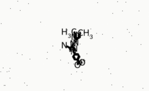 Cc1nc(N=Nc2nn(-c3ccc([N+](=O)[O-])cc3)cc2C#N)cn1C